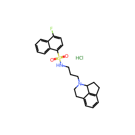 Cl.O=S(=O)(NCCCN1CCc2cccc3c2C1CC3)c1ccc(F)c2ccccc12